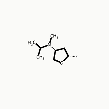 CC(C)N(C)[C@H]1CO[C@@H](I)C1